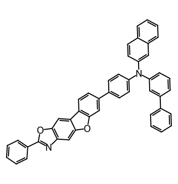 c1ccc(-c2cccc(N(c3ccc(-c4ccc5c(c4)oc4cc6nc(-c7ccccc7)oc6cc45)cc3)c3ccc4ccccc4c3)c2)cc1